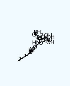 BC(=O)COc1ccc(O[C@@H]2O[C@H](C(=O)O)[C@@H](O)[C@H](O)[C@H]2O)c(C(=O)NCCCOCc2cn(CCC/C(C)=C/CC/C(C)=C/C)nn2)c1